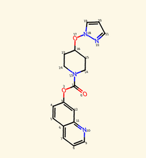 O=C(Oc1ccc2cccnc2c1)N1CCC(On2cccn2)CC1